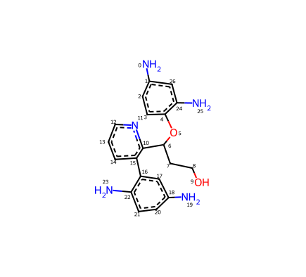 Nc1ccc(OC(CCO)c2ncccc2-c2cc(N)ccc2N)c(N)c1